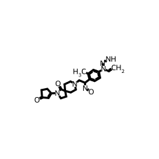 C=CN(N=N)c1ccc(C(CN2CCC3(CC2)CCN(C2=CC(=O)CC2)C3=O)N=O)c(C)c1